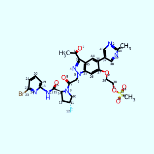 CC(=O)c1nn(CC(=O)N2C[C@H](F)C[C@H]2C(=O)Nc2cccc(Br)n2)c2cc(OCCOS(C)(=O)=O)c(-c3cnc(C)nc3)cc12